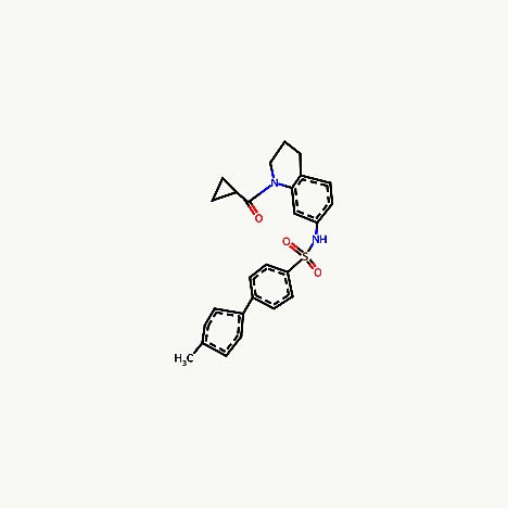 Cc1ccc(-c2ccc(S(=O)(=O)Nc3ccc4c(c3)N(C(=O)C3CC3)CCC4)cc2)cc1